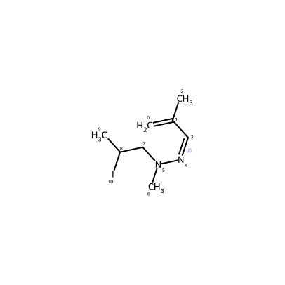 C=C(C)/C=N\N(C)CC(C)I